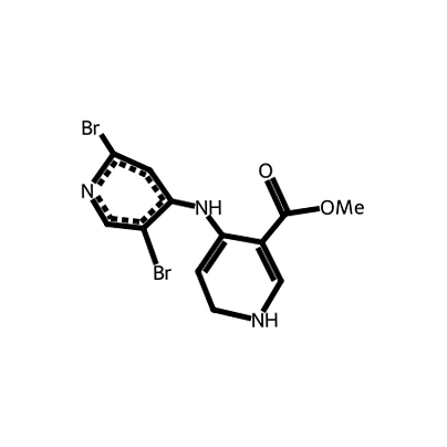 COC(=O)C1=CNCC=C1Nc1cc(Br)ncc1Br